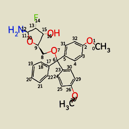 COc1ccc(C(OC[C@H]2O[C@@H](N)[C@H](F)[C@@H]2O)(c2ccccc2)c2ccc(OC)cc2)cc1